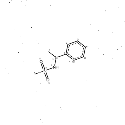 CN(NS(C)(=O)=O)c1ccccc1